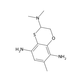 Cc1cc(N)c2c(c1N)OCC(N(C)C)S2